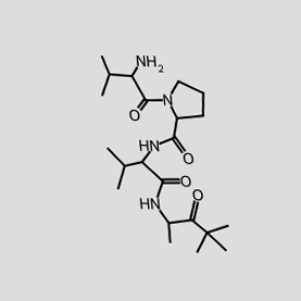 CC(NC(=O)C(NC(=O)C1CCCN1C(=O)C(N)C(C)C)C(C)C)C(=O)C(C)(C)C